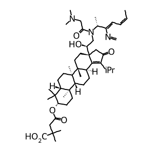 C=N/C(=C\C=C/C)[C@@H](C)N(C[C@H](O)[C@@]12CC[C@]3(C)[C@H](CC[C@@H]4[C@@]5(C)CC[C@H](OC(=O)CC(C)(C)C(=O)O)C(C)(C)[C@@H]5CC[C@]43C)C1=C(C(C)C)C(=O)C2)C(=O)CN(C)C